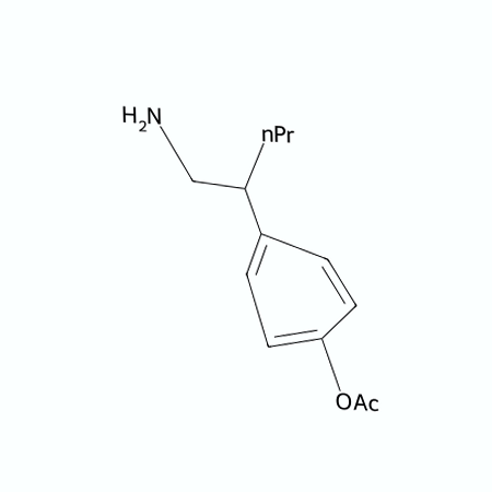 CCCC(CN)c1ccc(OC(C)=O)cc1